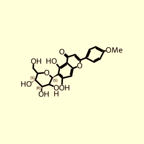 COc1ccc(-c2cc(=O)c3c(O)c([C@@H]4OC(CO)[C@@H](O)[C@H](O)C4O)c(O)cc3o2)cc1